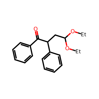 CCOC(CC(C(=O)c1ccccc1)c1ccccc1)OCC